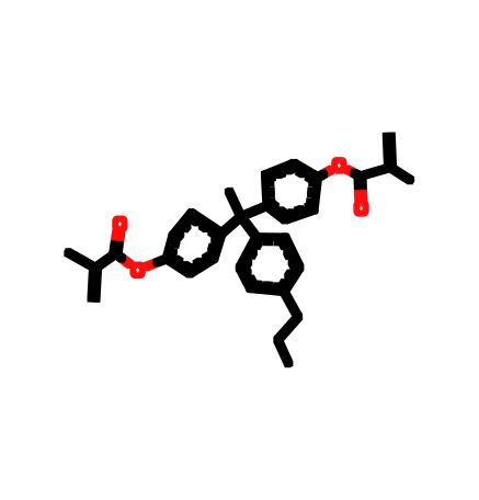 C=C(C)C(=O)Oc1ccc(C(C)(c2ccc(CCC)cc2)c2ccc(OC(=O)C(=C)C)cc2)cc1